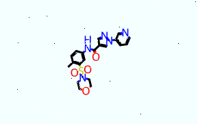 Cc1ccc(NC(=O)c2cnn(-c3cccnc3)c2)cc1S(=O)(=O)N1CCOCC1